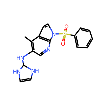 Cc1c(NC2NC=CN2)cnc2c1ccn2S(=O)(=O)c1ccccc1